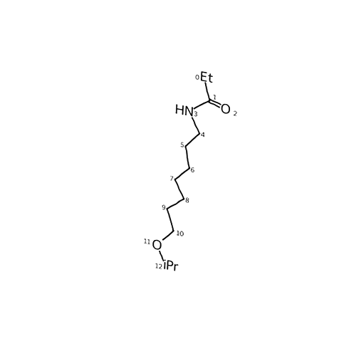 CCC(=O)NCCCCCCCOC(C)C